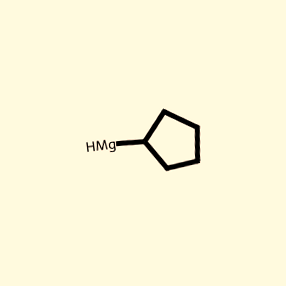 [MgH][CH]1CCCC1